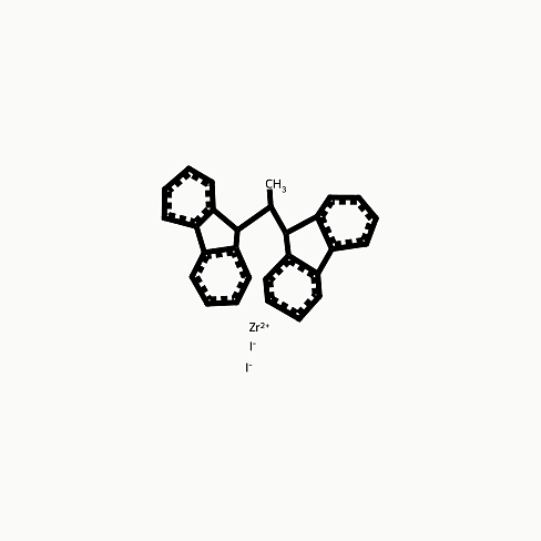 CC(C1c2ccccc2-c2ccccc21)C1c2ccccc2-c2ccccc21.[I-].[I-].[Zr+2]